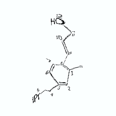 Cc1cc(CC(C)C)ccc1C=CCO